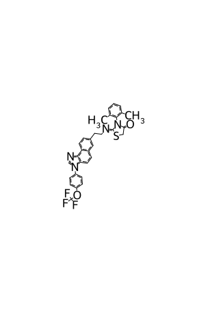 Cc1cccc(C)c1N1C(=O)CSC1=NCCc1ccc2c(ccc3c2ncn3-c2ccc(OC(F)(F)F)cc2)c1